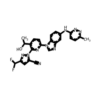 Cc1ccc(Nc2ccc3c(c2)ncn3-c2ccc(C(C)O)c(-n3nc(C(F)F)cc3C#N)n2)nn1